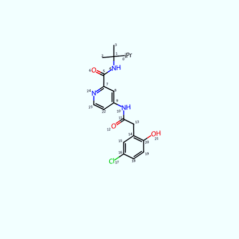 CC(C)C(C)(C)NC(=O)c1cc(NC(=O)Cc2cc(Cl)ccc2O)ccn1